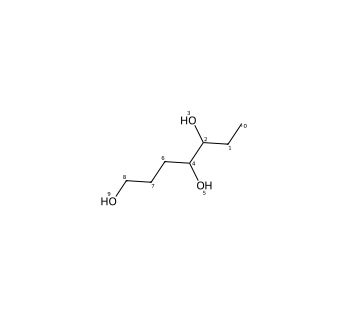 [CH2]CC(O)C(O)CCCO